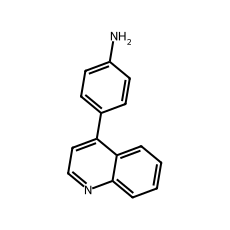 Nc1ccc(-c2ccnc3ccccc23)cc1